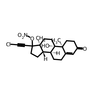 C[C@]12CC[C@]3(O)[C@@H](CCC4=CC(=O)CC[C@@]43C)[C@@H]1CCC2(C#CCl)O[N+](=O)[O-]